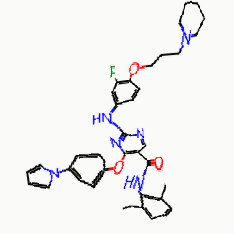 Cc1cccc(C)c1NC(=O)c1cnc(Nc2ccc(OCCCN3CCCCC3)c(F)c2)nc1Oc1ccc(-n2cccc2)cc1